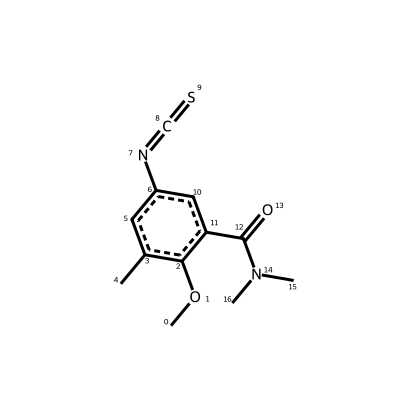 COc1c(C)cc(N=C=S)cc1C(=O)N(C)C